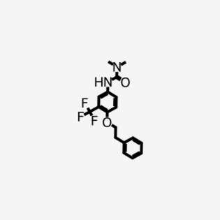 CN(C)C(=O)Nc1ccc(OCCc2ccccc2)c(C(F)(F)F)c1